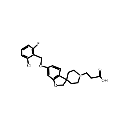 O=C(O)CCN1CCC2(CC1)COc1cc(OCc3c(F)cccc3Cl)ccc12